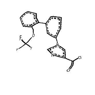 O=C(Cl)c1cn(-c2cccc(-c3ccccc3OC(F)(F)F)c2)cn1